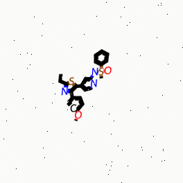 CCc1nc(-c2ccc(OC)cc2)c(-c2ccnc(N=S(C)(=O)c3ccccc3)c2)s1